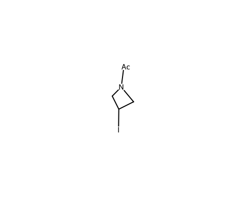 CC(=O)N1CC(I)C1